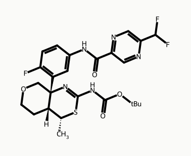 C[C@H]1SC(NC(=O)OC(C)(C)C)=N[C@@]2(c3cc(NC(=O)c4cnc(C(F)F)cn4)ccc3F)COCC[C@@H]12